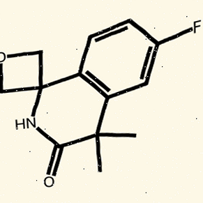 CC1(C)C(=O)NC2(COC2)c2ccc(F)cc21